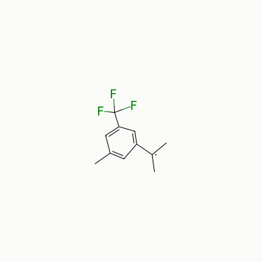 C[C](C)c1cc(C)cc(C(F)(F)F)c1